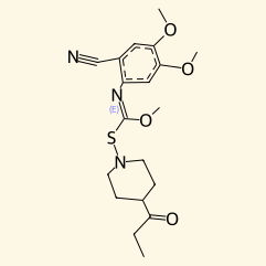 CCC(=O)C1CCN(S/C(=N/c2cc(OC)c(OC)cc2C#N)OC)CC1